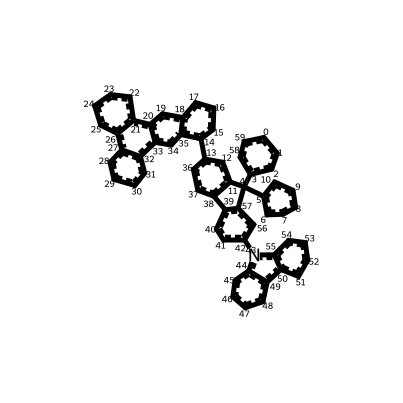 c1ccc(C2(c3ccccc3)c3cc(-c4cccc5cc6c7ccccc7c7ccccc7c6cc45)ccc3-c3ccc(-n4c5ccccc5c5ccccc54)cc32)cc1